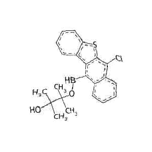 CC(C)(O)C(C)(C)OBc1c2ccccc2c(Cl)c2sc3ccccc3c12